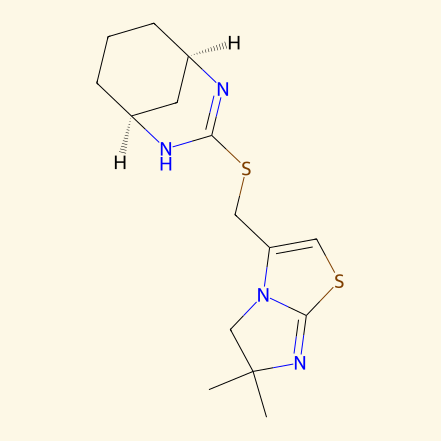 CC1(C)CN2C(CSC3=N[C@@H]4CCC[C@@H](C4)N3)=CSC2=N1